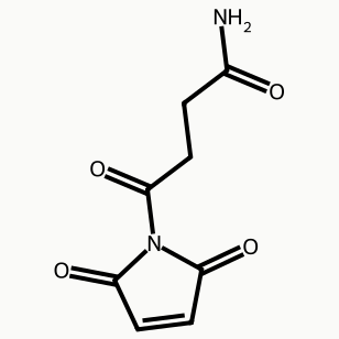 NC(=O)CCC(=O)N1C(=O)C=CC1=O